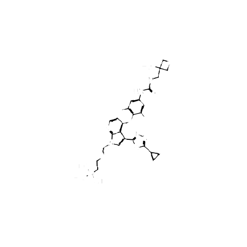 CC1(CNC(=O)Nc2cc(F)c(Oc3ccnc4c3c(-c3nnc(C5CC5)o3)cn4COCC[Si](C)(C)C)c(F)c2)COC1